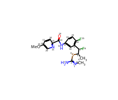 C/N=C(/N)S[C@H](C)[C@H](F)c1cc(NC(=O)c2ccc(OC)cn2)ccc1F